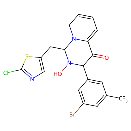 O=C1C2=CC=CCN2C(Cc2cnc(Cl)s2)N(O)C1c1cc(Br)cc(C(F)(F)F)c1